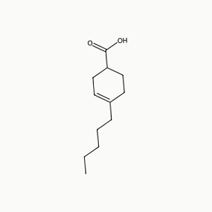 CCCCCC1=CCC(C(=O)O)CC1